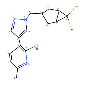 Cc1ccc(-c2cnn(CC3CC4C(C3)C4(F)F)c2)c(Cl)n1